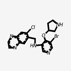 Clc1cc2nccnc2cc1CNc1cncc(Br)c1OC1CCNC1